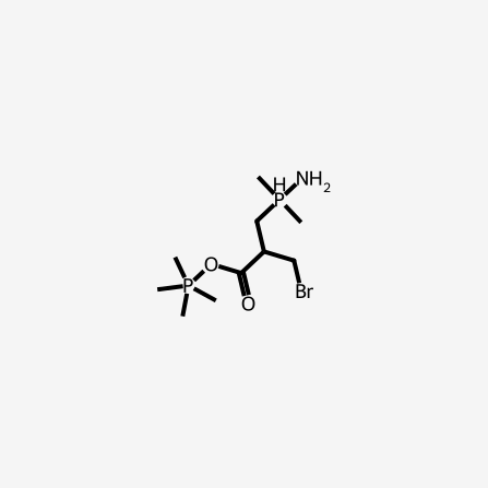 C[PH](C)(N)CC(CBr)C(=O)OP(C)(C)(C)C